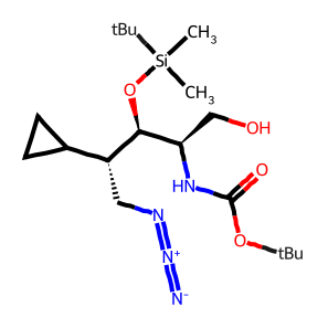 CC(C)(C)OC(=O)N[C@H](CO)[C@H](O[Si](C)(C)C(C)(C)C)[C@H](CN=[N+]=[N-])C1CC1